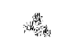 O=P(O)(O)O.O=P(O)(O)O.O=P(O)(O)O.O=c1[nH]c(=O)n([C@H]2C[C@H](O)[C@@H](CO)O2)cc1I